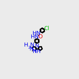 NC1=NCNc2c3c(n(-c4ccc(NC(=O)Nc5ccc(Cl)cc5)cc4)c21)CCC3